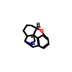 c1cc2c3c(c1)O[C@H]1CCCC4C(C2)NCC[C@@]341